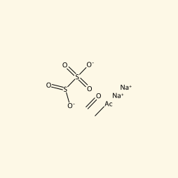 C=O.CC(C)=O.O=S([O-])S(=O)(=O)[O-].[Na+].[Na+]